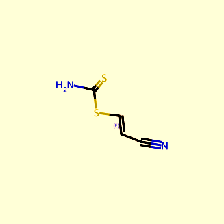 N#C/C=C/SC(N)=S